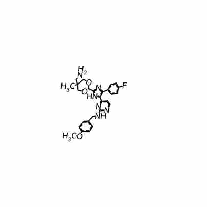 COc1ccc(CNc2nccc(-c3[nH]c(C4OCC(C)(CN)CO4)nc3-c3ccc(F)cc3)n2)cc1